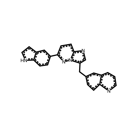 c1cnc2ccc(Cc3cnc4ccc(-c5ccc6[nH]ccc6c5)nn34)cc2c1